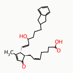 CC1=CC(=O)[C@H](C/C=C\CCCC(=O)O)[C@H]1/C=C/[C@@H](O)CCCC1Cc2ccccc2C1